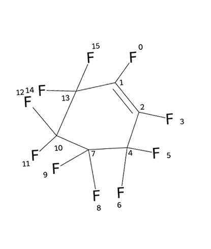 FC1=C(F)C(F)(F)C(F)(F)C(F)(F)C1(F)F